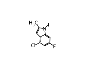 Cc1cc2c(Cl)cc(F)cc2n1I